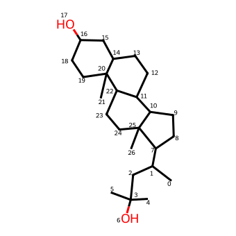 CC(CC(C)(C)O)C1CCC2C3CCC4CC(O)CCC4(C)C3CCC12C